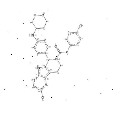 O=C(Oc1ccc(Cl)cc1)N1CCc2c([nH]c3ccc(Cl)cc23)C1c1ccc(NC2CCOCC2)cc1